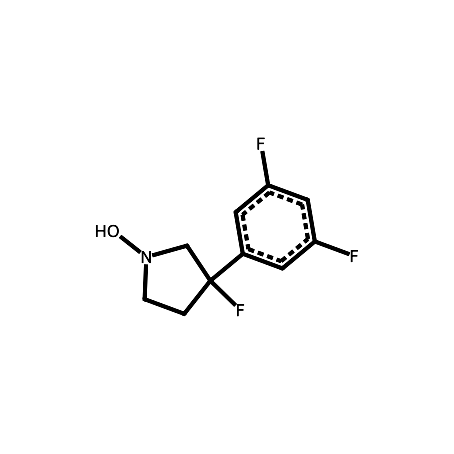 ON1CCC(F)(c2cc(F)cc(F)c2)C1